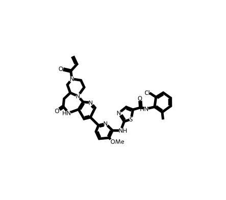 C=CC(=O)N1CCN2c3ncc(-c4ccc(OC)c(Nc5ncc(C(=O)Nc6c(C)cccc6Cl)s5)n4)cc3NC(=O)CC2C1